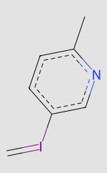 C=Ic1ccc(C)nc1